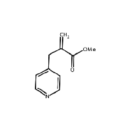 C=C(Cc1ccncc1)C(=O)OC